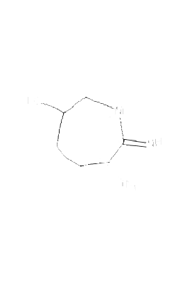 CC1CC[C@@H](C(C)C)C(=N)NC1